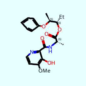 CC[C@H](OC(=O)[C@H](C)NC(=O)c1nccc(OC)c1O)[C@H](C)Oc1ccccc1